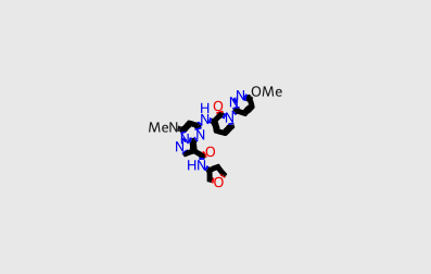 CNc1cc(Nc2cccn(-c3ccc(OC)nn3)c2=O)nc2c(C(=O)NC3CCOC3)cnn12